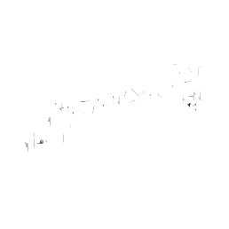 CC[C@H](CCCC/N=C\N(C(C)=O)c1ccc(N2CCN(c3ccc(OC[C@@H](CCCn4cncn4)COCc4ccc(F)cc4F)cc3)CC2)cc1)[C@H](C)O